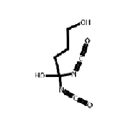 O=C=NC(O)(CCCO)N=C=O